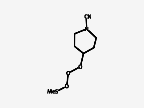 CSOOOC1CCN(C#N)CC1